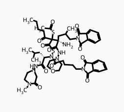 CCCCC(=O)C(SC(C)=O)(C(=O)SN(C(=O)CCCCN1C(=O)c2ccccc2C1=O)[C@@H](CC(C)C)C(=O)NN1CCN(C)C(=O)C1)[C@@](N)(CC(C)CN1C(=O)c2ccccc2C1=O)C(=O)NN1CCOCC1